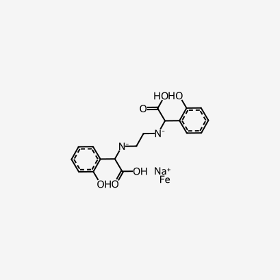 O=C(O)C([N-]CC[N-]C(C(=O)O)c1ccccc1O)c1ccccc1O.[Fe].[Na+]